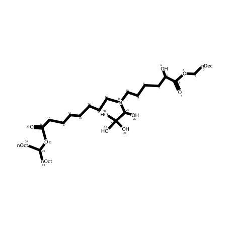 CCCCCCCCCCCOC(=O)C(O)CCCCN(CCCCCCCC(=O)OC(CCCCCCCC)CCCCCCCC)C(O)C(O)(O)O